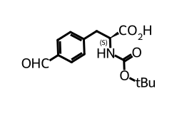 CC(C)(C)OC(=O)N[C@@H](Cc1ccc(C=O)cc1)C(=O)O